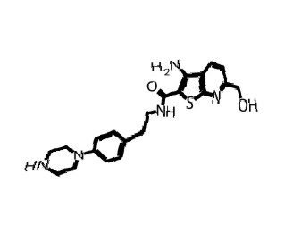 Nc1c(C(=O)NCCc2ccc(N3CCNCC3)cc2)sc2nc(CO)ccc12